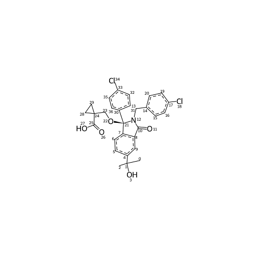 CC(C)(O)c1ccc2c(c1)C(=O)N(Cc1ccc(Cl)cc1)[C@@]2(OCC1(C(=O)O)CC1)c1ccc(Cl)cc1